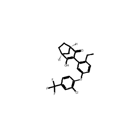 CCc1ccc(Oc2ccc(C(F)(F)F)cc2Cl)cc1C1=C(O)[C@H]2CC[C@H](C2)C1=O